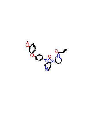 C=CC(=O)N1CCC[C@@H](n2c(=O)n(-c3ccc(Oc4cccc(OC)c4)cc3)c3cnccc32)C1